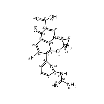 COc1c(-c2cccc(NC(=N)N)n2)c(F)cc2c(=O)c(C(=O)O)cn(C3CC3)c12